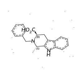 C[C@H]1c2[nH]c3ccccc3c2C[C@H](C(=O)O)N1Cc1ccccc1